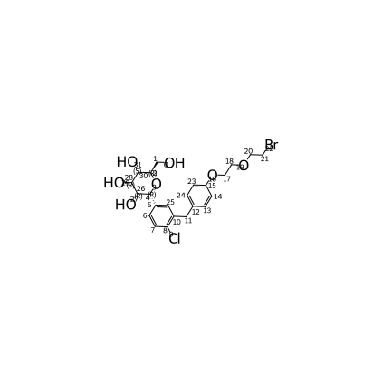 OC[C@H]1O[C@H](c2ccc(Cl)c(Cc3ccc(OCCOCCBr)cc3)c2)[C@H](O)[C@@H](O)[C@@H]1O